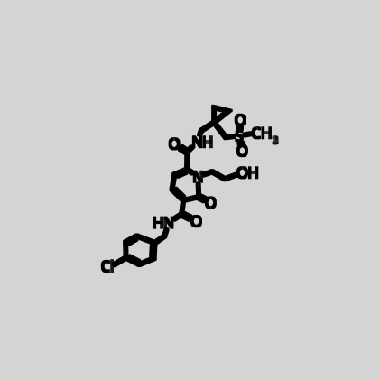 CS(=O)(=O)CC1(CNC(=O)c2ccc(C(=O)NCc3ccc(Cl)cc3)c(=O)n2CCO)CC1